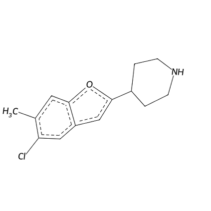 Cc1cc2oc(C3CCNCC3)cc2cc1Cl